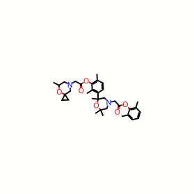 Cc1cccc(C)c1OC(=O)CN1CC(C)(C)OC(C)(c2ccc(C)c(OC(=O)CN3CC(C)OC4(CC4)C3)c2C)C1